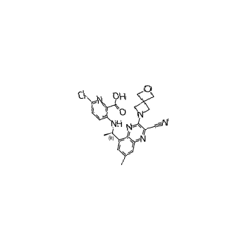 Cc1cc([C@@H](C)Nc2ccc(Cl)nc2C(=O)O)c2nc(N3CC4(COC4)C3)c(C#N)nc2c1